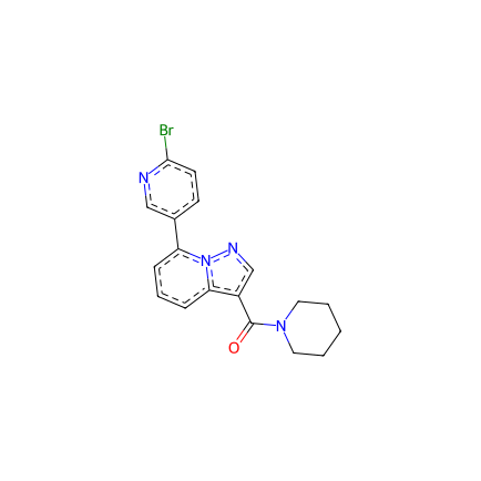 O=C(c1cnn2c(-c3ccc(Br)nc3)cccc12)N1CCCCC1